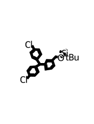 CC(C)(C)[Si](C)(C)OCc1cccc(C(c2ccc(Cl)cc2)c2ccc(Cl)cc2)c1